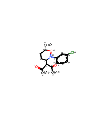 COC(=O)C(C(=O)OC)[C@H]1CC[C@H](C=O)ON1c1cccc(Cl)c1